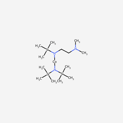 CN(C)CC[N]([Co][N]([Si](C)(C)C)[Si](C)(C)C)[Si](C)(C)C